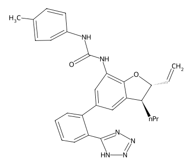 C=C[C@H]1Oc2c(NC(=O)Nc3ccc(C)cc3)cc(-c3ccccc3-c3nnn[nH]3)cc2[C@@H]1CCC